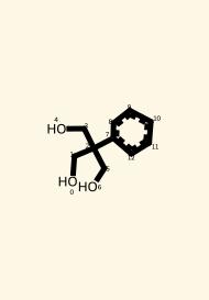 OCC(CO)(CO)c1ccccc1